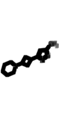 Cc1cc(C2CC(N3CCCCC3)C2)ns1